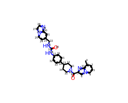 Cc1cccn2cc(C(=O)N3CCC(c4ccc(NC(=O)NCc5ccn6ccnc6c5)cc4)CC3)nc12